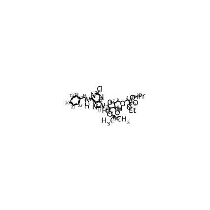 CCOP(=O)(COCC1O[C@@H](n2cnc3c(NCc4ccccc4)nc(Cl)nc32)[C@@H]2OC(C)(C)O[C@H]12)OC(C)C